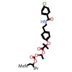 CNCC(OC(=O)OC(C)OC(=O)C(C)(C)Oc1ccc(CCNC(=O)c2ccc(Cl)cc2)cc1)C(C)C